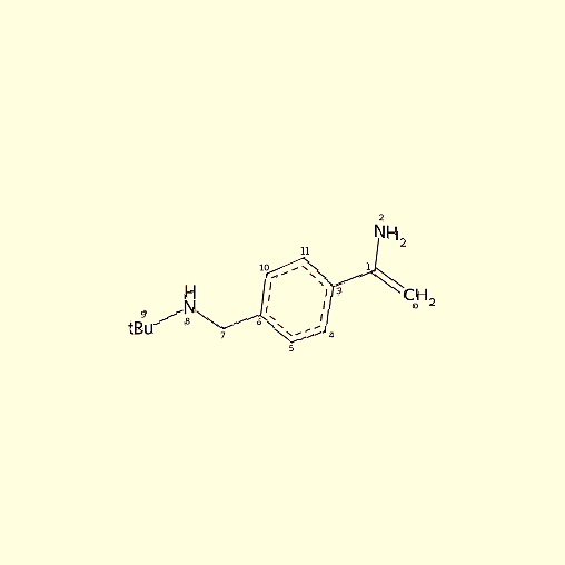 C=C(N)c1ccc(CNC(C)(C)C)cc1